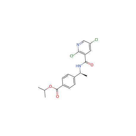 CC(C)OC(=O)c1ccc([C@H](C)NC(=O)c2cc(Cl)cnc2Cl)cc1